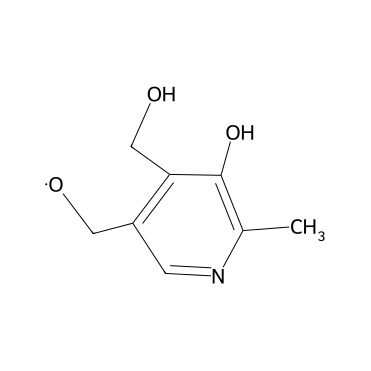 Cc1ncc(C[O])c(CO)c1O